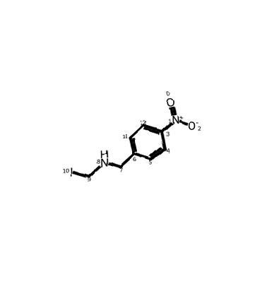 O=[N+]([O-])c1ccc(CNCI)cc1